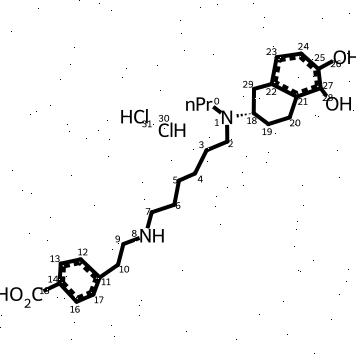 CCCN(CCCCCCNCCc1ccc(C(=O)O)cc1)[C@H]1CCc2c(ccc(O)c2O)C1.Cl.Cl